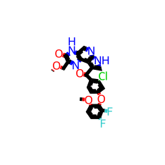 COCc1nc2c(cnc3[nH]cc(C(=O)c4ccc(Oc5c(OC)ccc(F)c5F)cc4Cl)c32)[nH]c1=O